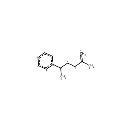 C=C(C)CCC(C)c1ccccc1